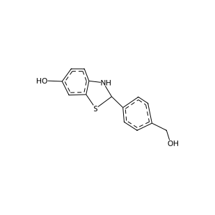 OCc1ccc(C2Nc3ccc(O)cc3S2)cc1